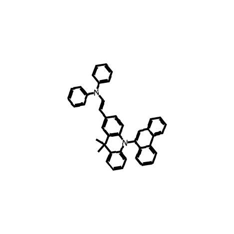 CC1(C)c2ccccc2N(c2cc3ccccc3c3ccccc23)c2ccc(/C=C/N(c3ccccc3)c3ccccc3)cc21